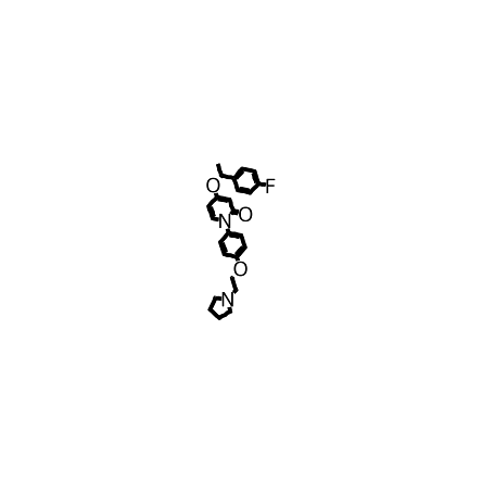 CC(Oc1ccn(-c2ccc(OCCN3CCCC3)cc2)c(=O)c1)c1ccc(F)cc1